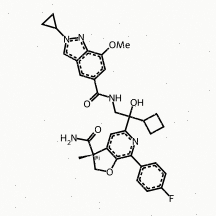 COc1cc(C(=O)NCC(O)(c2cc3c(c(-c4ccc(F)cc4)n2)OC[C@]3(C)C(N)=O)C2CCC2)cc2cn(C3CC3)nc12